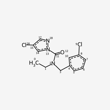 CCN(Cc1cccc(Cl)c1)C(=O)n1cc(Cl)cn1